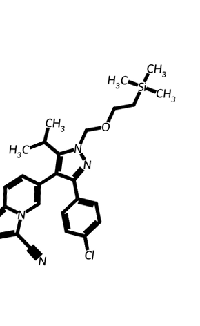 CC(C)c1c(-c2ccc3ncc(C#N)n3c2)c(-c2ccc(Cl)cc2)nn1COCC[Si](C)(C)C